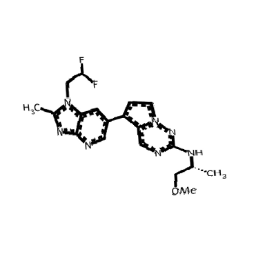 COC[C@@H](C)Nc1ncc2c(-c3cnc4nc(C)n(CC(F)F)c4c3)ccn2n1